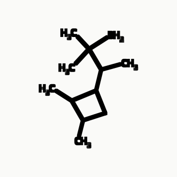 BC(C)(C)C(C)C1CC(C)C1C